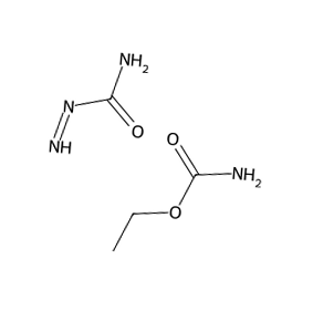 CCOC(N)=O.N=NC(N)=O